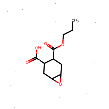 CCCOC(=O)C1CC2OC2CC1C(=O)O